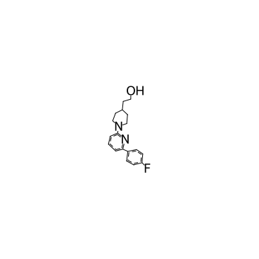 OCCC1CCN(c2cccc(-c3ccc(F)cc3)n2)CC1